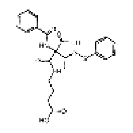 CC(SSc1ccccc1)C(NC(=O)c1ccccc1)(C(=O)O)C(=O)NCCCC(=O)O